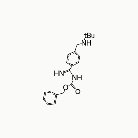 CC(C)(C)NCc1ccc(C(=N)NC(=O)OCc2ccccc2)cc1